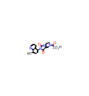 N#Cc1ccc(N2C(=O)C3C4CC(CN4C(=O)C(=O)O)N3C2=O)c2cccnc12